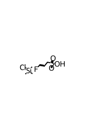 C[Si](C)(C)Cl.O=S(=O)(O)CC=CF